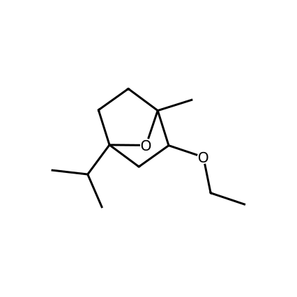 CCOC1CC2(C(C)C)CCC1(C)O2